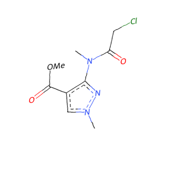 COC(=O)c1cn(C)nc1N(C)C(=O)CCl